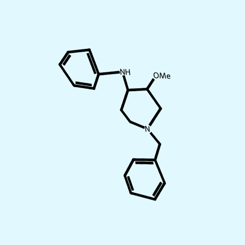 COC1CN(Cc2ccccc2)CCC1Nc1ccccc1